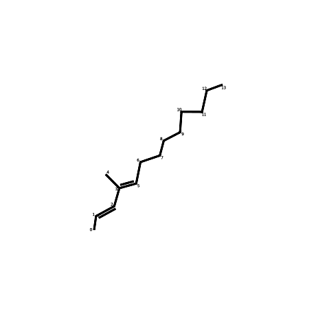 C/[C]=C/C(C)=C/CCCCCCCC